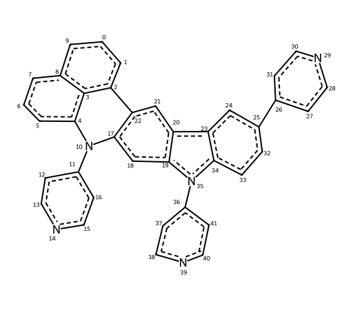 c1cc2c3c(cccc3c1)N(c1ccncc1)c1cc3c(cc1-2)c1cc(-c2ccncc2)ccc1n3-c1ccncc1